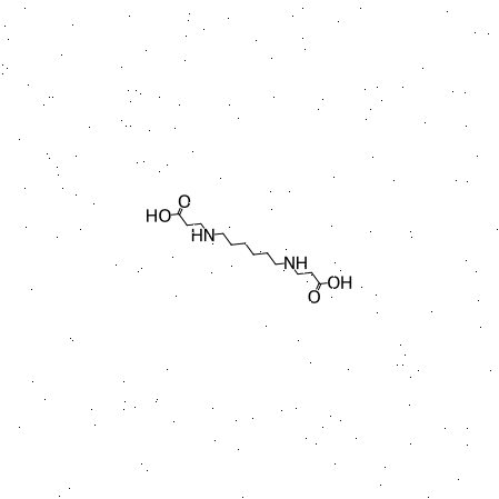 O=C(O)CCNCCCCCCNCCC(=O)O